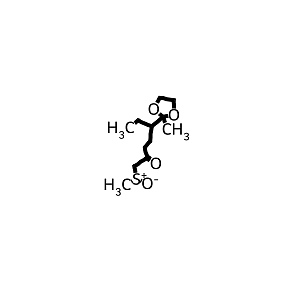 CCC(CCC(=O)C[S+](C)[O-])C1(C)OCCO1